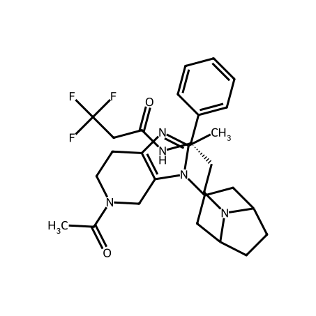 CC(=O)N1CCc2nc(C)n(C3CC4CCC(C3)N4CC[C@H](NC(=O)CC(F)(F)F)c3ccccc3)c2C1